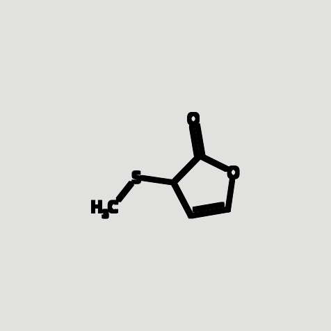 CSC1C=COC1=O